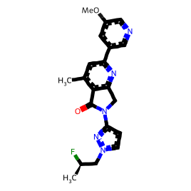 COc1cncc(-c2cc(C)c3c(n2)CN(c2ccn(C[C@@H](C)F)n2)C3=O)c1